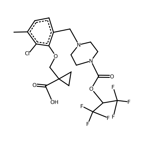 Cc1ccc(CN2CCN(C(=O)OC(C(F)(F)F)C(F)(F)F)CC2)c(OCC2(C(=O)O)CC2)c1Cl